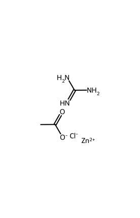 CC(=O)[O-].N=C(N)N.[Cl-].[Zn+2]